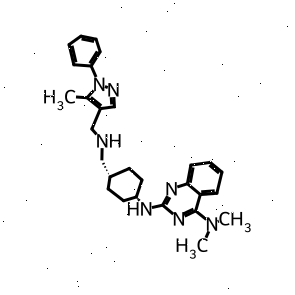 Cc1c(CNC[C@H]2CC[C@@H](Nc3nc(N(C)C)c4ccccc4n3)CC2)cnn1-c1ccccc1